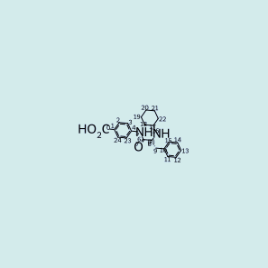 O=C(O)c1ccc(NC(=O)[C@@H](Cc2ccccc2)NC2CCCCC2)cc1